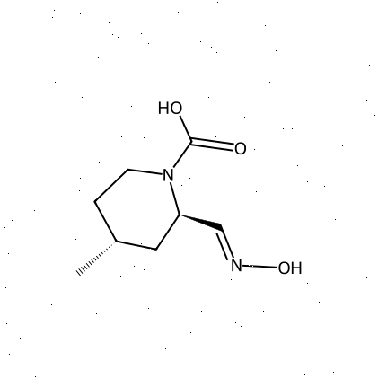 C[C@@H]1CCN(C(=O)O)[C@@H](C=NO)C1